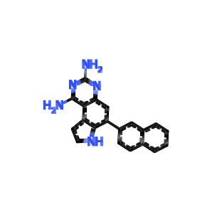 Nc1nc(N)c2c(cc(-c3ccc4ccccc4c3)c3[nH]ccc32)n1